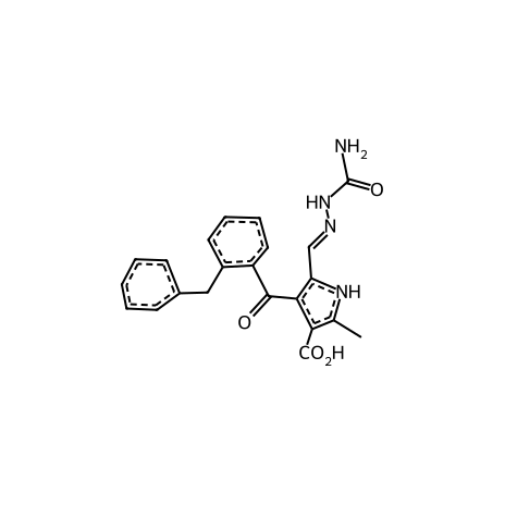 Cc1[nH]c(/C=N/NC(N)=O)c(C(=O)c2ccccc2Cc2ccccc2)c1C(=O)O